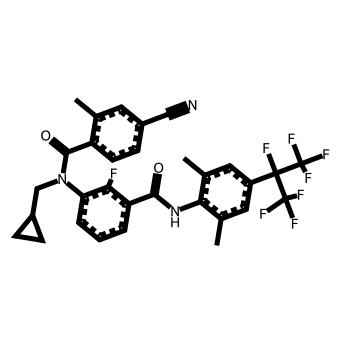 Cc1cc(C#N)ccc1C(=O)N(CC1CC1)c1cccc(C(=O)Nc2c(C)cc(C(F)(C(F)(F)F)C(F)(F)F)cc2C)c1F